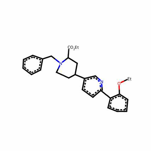 CCOC(=O)C1CC(c2ccc(-c3ccccc3OCC)nc2)CCN1Cc1ccccc1